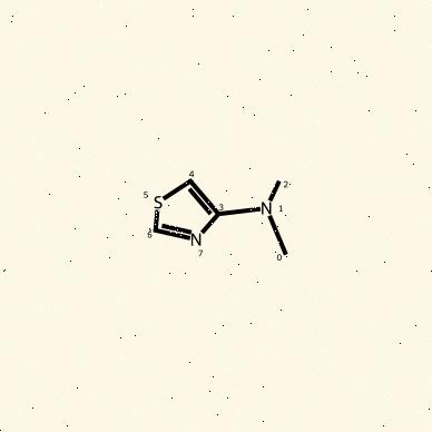 CN(C)c1cs[c]n1